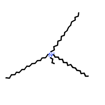 CCCCCCCCCCCCCCCCC[N+](CCCC)(CCCCCCCCCCCCCCCCC)CCCCCCCCCCCCCCCCC